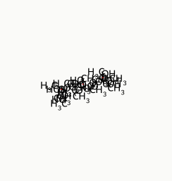 CCC(C)COCC(COCC(C)O)(COCC(C)OC(=O)OC(C)COCC(COCC(C)O)(COCC(C)O)COCC(O)CC)COCC(C)OC(=O)OC(C)COCC(COCC(O)CC)(COCC(O)CC)COCC(O)CC